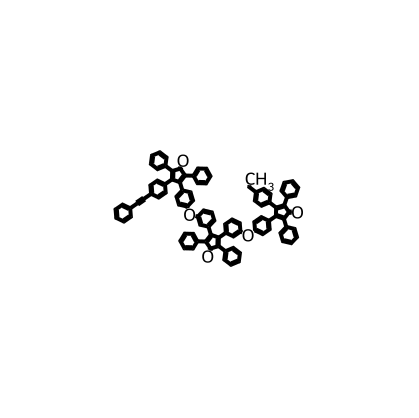 CCc1ccc(C2=C(c3ccccc3)C(=O)C(c3ccccc3)=C2c2ccc(Oc3cccc(C4=C(c5ccccc5)C(=O)C(c5ccccc5)=C4c4cccc(Oc5ccc(C6=C(c7ccccc7)C(=O)C(c7ccccc7)=C6c6ccc(C#Cc7ccccc7)cc6)cc5)c4)c3)cc2)cc1